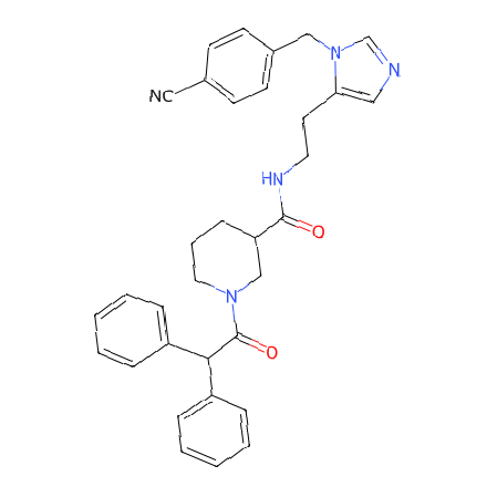 N#Cc1ccc(Cn2cncc2CCNC(=O)C2CCCN(C(=O)C(c3ccccc3)c3ccccc3)C2)cc1